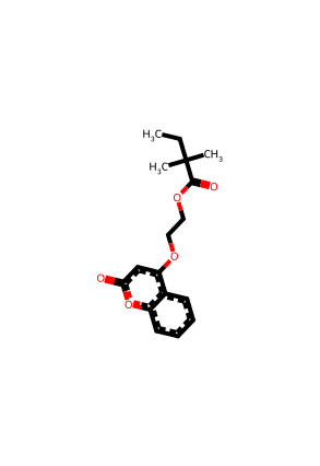 CCC(C)(C)C(=O)OCCOc1cc(=O)oc2ccccc12